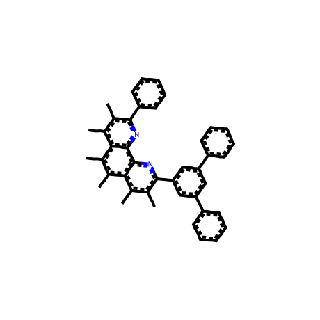 Cc1c(-c2ccccc2)nc2c(c1C)c(C)c(C)c1c(C)c(C)c(-c3cc(-c4ccccc4)cc(-c4ccccc4)c3)nc12